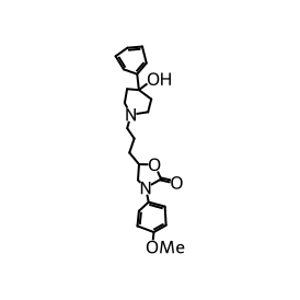 COc1ccc(N2CC(CCCN3CCC(O)(c4ccccc4)CC3)OC2=O)cc1